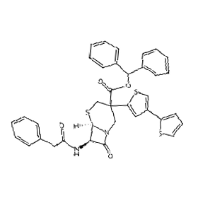 O=C(Cc1ccccc1)N[C@@H]1C(=O)N2CC(C(=O)OC(c3ccccc3)c3ccccc3)(c3cc(-c4cccs4)cs3)CS[C@H]12